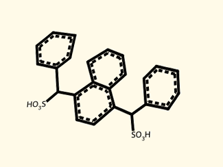 O=S(=O)(O)C(c1ccccc1)c1ccc(C(c2ccccc2)S(=O)(=O)O)c2ccccc12